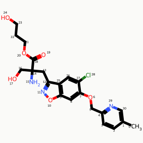 Cc1ccc(COc2cc3onc(CC(N)(CO)C(=O)OCCCO)c3cc2Cl)nc1